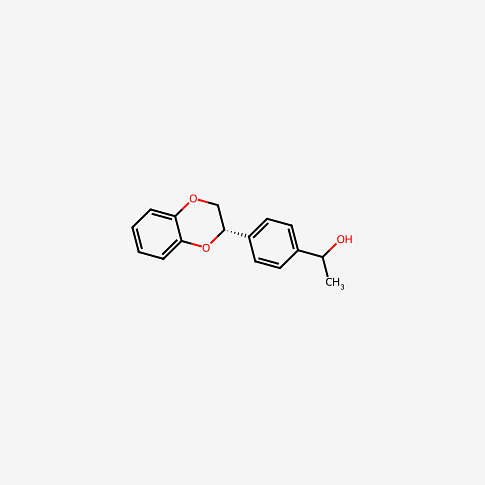 CC(O)c1ccc([C@H]2COc3ccccc3O2)cc1